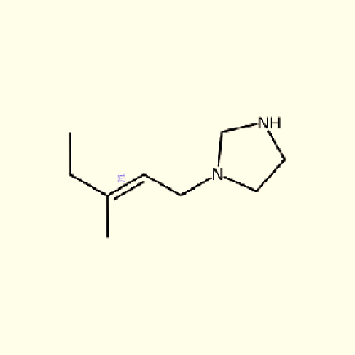 CC/C(C)=C/CN1CCNC1